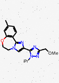 COCc1nc(-c2cn3c(n2)-c2ccc(C)cc2OCC3)n(C(C)C)n1